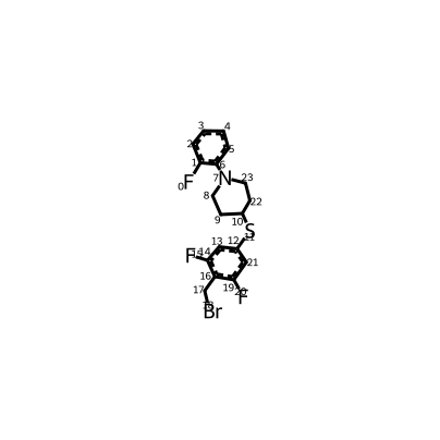 Fc1ccccc1N1CCC(Sc2cc(F)c(CBr)c(F)c2)CC1